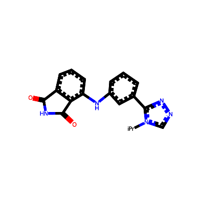 CC(C)n1cnnc1-c1cccc(Nc2cccc3c2C(=O)NC3=O)c1